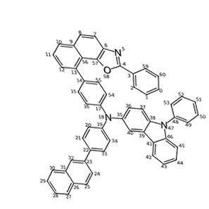 c1ccc(-c2nc3ccc4cccc(-c5ccc(N(c6ccc(-c7ccc8ccccc8c7)cc6)c6ccc7c(c6)c6ccccc6n7-c6ccccc6)cc5)c4c3o2)cc1